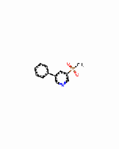 CS(=O)(=O)c1cncc(-c2ccccc2)c1